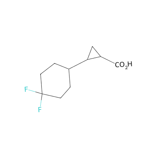 O=C(O)C1CC1C1CCC(F)(F)CC1